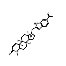 CC(=O)c1ccc2nc(CC3CC[C@H]4[C@@H]5CCC6N(C)C(=O)C=C[C@]6(C)[C@@H]5CC[C@]34C)[nH]c2c1